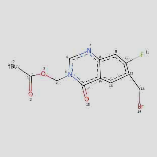 CC(C)(C)C(=O)OCn1cnc2cc(F)c(CBr)cc2c1=O